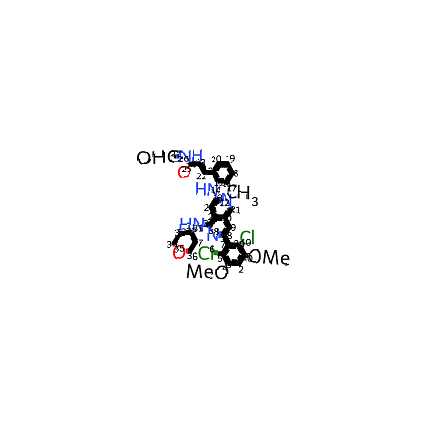 COc1cc(OC)c(Cl)c(-c2cc3cnc(Nc4c(C)cccc4C=CC(=O)NC=O)cc3c(NC3CCOCC3)n2)c1Cl